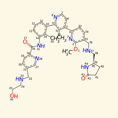 COc1nc(-c2ccnc(-c3cccc(NC(=O)c4ccc(CNCCO)cn4)c3C)c2C)ccc1CNC[C@H]1CCC(=O)N1